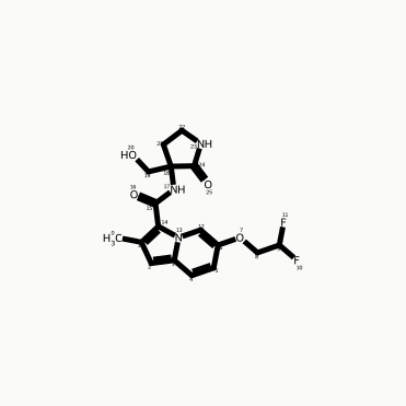 Cc1cc2ccc(OCC(F)F)cn2c1C(=O)NC1(CO)CCNC1=O